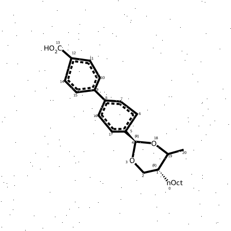 CCCCCCCC[C@@H]1CO[C@@H](c2ccc(-c3ccc(C(=O)O)cc3)cc2)OC1C